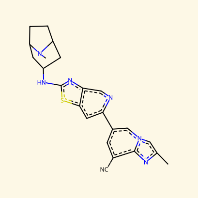 Cc1cn2cc(-c3cc4sc(NC5CC6CCC(C5)N6C)nc4cn3)cc(C#N)c2n1